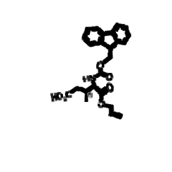 C=CCOC(=O)C(NC(=O)OCC1c2ccccc2-c2ccccc21)[C@@H](C)CC(=O)O